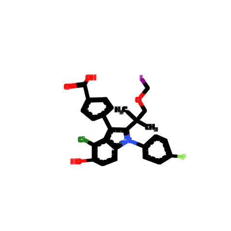 CC(C)(COCI)c1c(-c2ccc(C(=O)O)cc2)c2c(Cl)c(O)ccc2n1-c1ccc(F)cc1